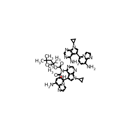 CC(C)(C)CC(C)(C)OC(=O)N(C(=O)O)c1ncnc2c1c(-c1ccc(N)c3nccn13)cn2C1CC1.Nc1ncnc2c1c(-c1ccc(N)c3nccn13)cn2C1CC1